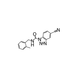 Cc1ccccc1CNC(=O)n1nnc2cc(C#N)ccc21